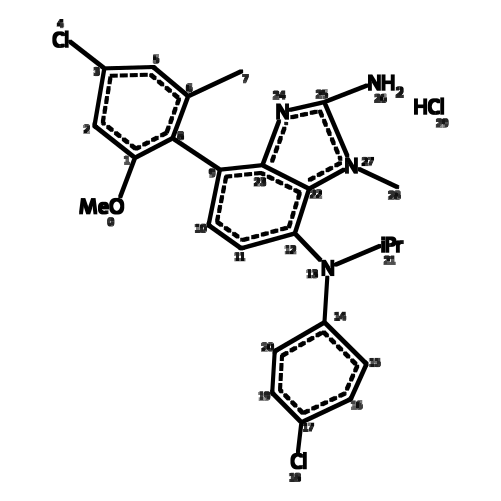 COc1cc(Cl)cc(C)c1-c1ccc(N(c2ccc(Cl)cc2)C(C)C)c2c1nc(N)n2C.Cl